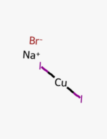 [Br-].[I][Cu][I].[Na+]